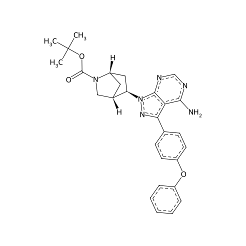 CC(C)(C)OC(=O)N1C[C@@H]2C[C@H]1C[C@H]2n1nc(-c2ccc(Oc3ccccc3)cc2)c2c(N)ncnc21